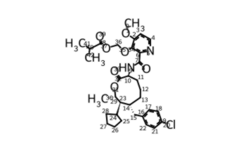 COc1ccnc(C(=O)N[C@H]2CCC[C@H](Cc3ccc(Cl)cc3)[C@@H](C3CCCC3)[C@H](C)OC2=O)c1OCOC(=O)C(C)C